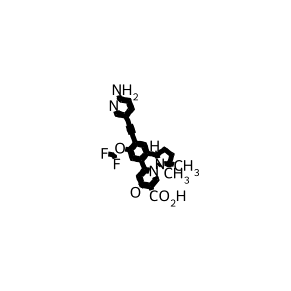 CC1(C)CC[C@@H]2c3cc(C#Cc4ccc(N)nc4)c(OC(F)F)cc3-c3cc(=O)c(C(=O)O)cn3N21